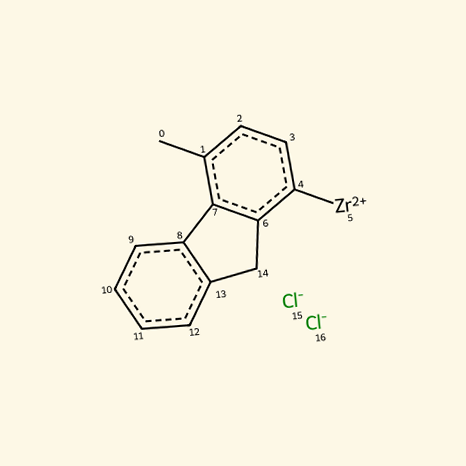 Cc1cc[c]([Zr+2])c2c1-c1ccccc1C2.[Cl-].[Cl-]